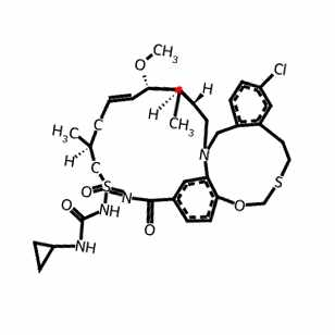 CO[C@@]12/C=C/C[C@H](C)CS(=O)(NC(=O)NC3CC3)=NC(=O)c3ccc4c(c3)N(Cc3ccc(Cl)cc3CCSCO4)C[C@H](C1)[C@H]2C